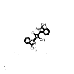 CC1=N/C(=C2/C(=O)C(c3[nH]c(C)c4ccccc34)=C2O)c2ccccc21